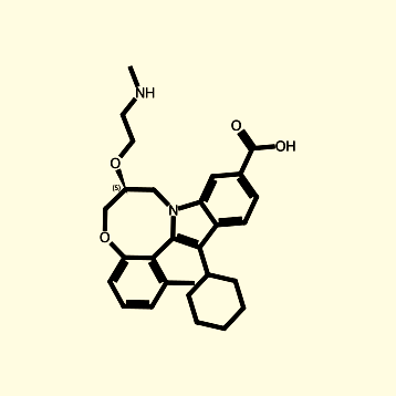 CNCCO[C@@H]1COc2cccc(C)c2-c2c(C3CCCCC3)c3ccc(C(=O)O)cc3n2C1